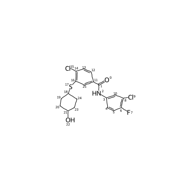 O=C(Nc1ccc(F)c(Cl)c1)c1ccc(Cl)c(SC2CCC(O)CC2)c1